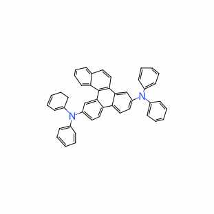 C1=CCCC(N(c2ccccc2)c2ccc3c4ccc(N(c5ccccc5)c5ccccc5)cc4c4ccc5ccccc5c4c3c2)=C1